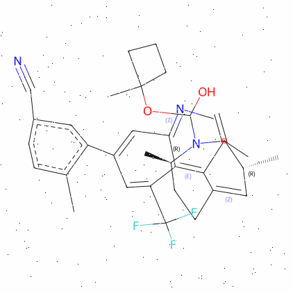 C=C(C)C(/C1=C\[C@@H](C)CN(C(O)OC2(C)CCC2)[C@H](C)CC1)=C1/C(C(F)(F)F)=CC(c2cc(C#N)ccc2C)=C/C1=N/C